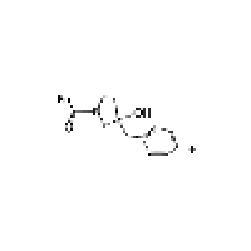 CC(C)(C)C(=O)N1CCC(O)(Cc2ccc(F)cc2)C1